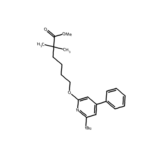 COC(=O)C(C)(C)CCCCOc1cc(-c2ccccc2)cc(C(C)(C)C)n1